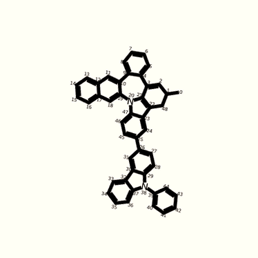 CC1C=C2c3ccccc3-c3cc4ccccc4cc3-n3c2c(c2cc(-c4ccc5c(c4)c4ccccc4n5-c4ccccc4)ccc23)C1